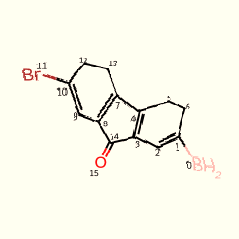 BC1=CC2=C(CC1)C1=C(C=C(Br)CC1)C2=O